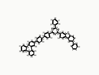 c1ccc(-c2ccc3sc4cc(-c5nc(-c6ccccc6)nc(-c6ccc(-c7ccc(-c8ccc9c%10ccccc%10c%10ccccc%10c9c8)cc7)cc6)n5)ccc4c3c2)cc1